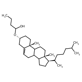 CCCC(O)O[C@@H]1CC[C@@]2(C)C(=CCC3C2CC[C@@]2(C)C3CC[C@@H]2C(C)CCCC(C)C)C1